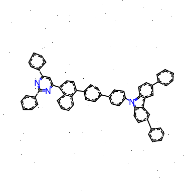 c1ccc(-c2ccc3c(c2)c2cc(-c4ccccc4)ccc2n3-c2ccc(-c3ccc(-c4ccc(-c5cc(-c6ccccc6)nc(-c6ccccc6)n5)c5ccccc45)cc3)cc2)cc1